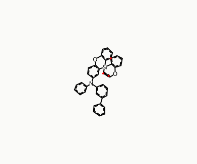 c1ccc(-c2cccc(N(c3ccccc3)c3ccc4c(c3)[Si]3(c5ccccc5Oc5ccccc53)c3ccccc3O4)c2)cc1